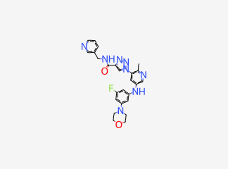 Cc1ncc(Nc2cc(F)cc(N3CCOCC3)c2)cc1-n1cc(C(=O)NCc2cccnc2)nn1